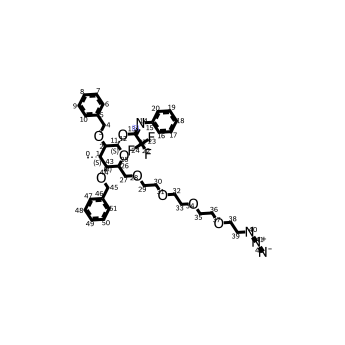 C[C@@H]1C(OCc2ccccc2)[C@H](O/C(=N/c2ccccc2)C(F)(F)F)OC(COCCOCCOCCOCCN=[N+]=[N-])[C@@H]1OCc1ccccc1